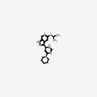 CC(C)Oc1cc2c(C3C=C(N4CCCCC4)N=CN3)n[nH]c2cn1